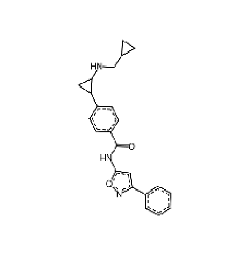 O=C(Nc1cc(-c2ccccc2)no1)c1ccc(C2CC2NCC2CC2)cc1